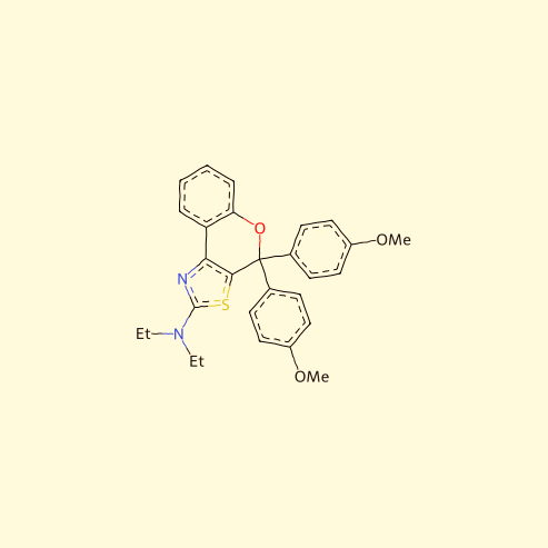 CCN(CC)c1nc2c(s1)C(c1ccc(OC)cc1)(c1ccc(OC)cc1)Oc1ccccc1-2